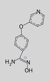 N/C(=N\O)c1ccc(Oc2cccnc2)cc1